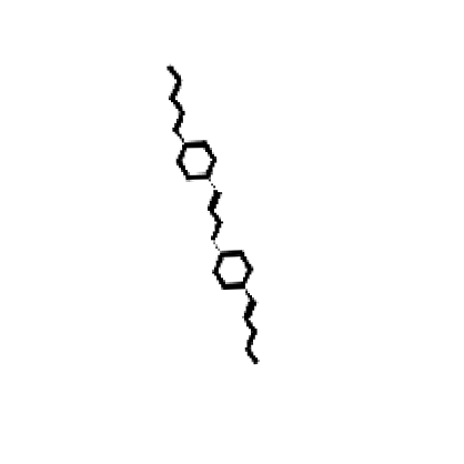 CCCC=C[C@H]1CC[C@H](CCC=C[C@H]2CC[C@H](CCCCC)CC2)CC1